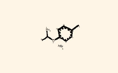 Br.Cc1ccc(OC(C)P)cc1